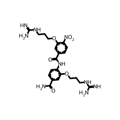 N=C(N)NCCCOc1cc(C(N)=O)ccc1NC(=O)c1ccc([N+](=O)[O-])c(OCCCNC(=N)N)c1